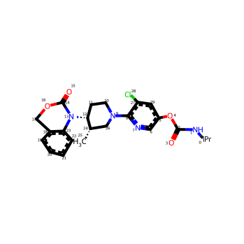 CC(C)NC(=O)Oc1cnc(N2CC[C@@H](N3C(=O)OCc4ccccc43)[C@@H](C)C2)c(Cl)c1